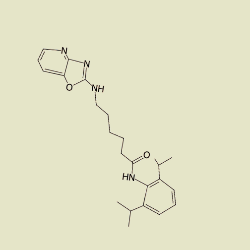 CC(C)c1cccc(C(C)C)c1NC(=O)CCCCCNc1nc2ncccc2o1